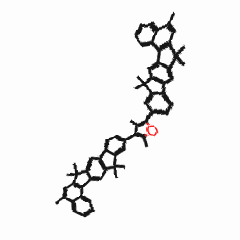 Cc1oc(-c2ccc3c(c2)C(C)(C)c2cc4c(cc2-3)C(C)(C)c2cc(C)c3ccccc3c2-4)c(C)c1-c1ccc2c(c1)C(C)(C)c1cc3c(cc1-2)C(C)(C)c1cc(C)c2ccccc2c1-3